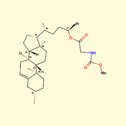 CC(C)[C@H](CC[C@@H](C)[C@H]1CC[C@H]2[C@@H]3CC=C4C[C@@H](C)CC[C@]4(C)[C@H]3CC[C@]12C)OC(=O)CNC(=O)OC(C)(C)C